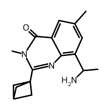 Cc1cc(C(C)N)c2nc(C34CC(C3)C4)n(C)c(=O)c2c1